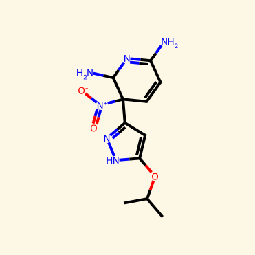 CC(C)Oc1cc(C2([N+](=O)[O-])C=CC(N)=NC2N)n[nH]1